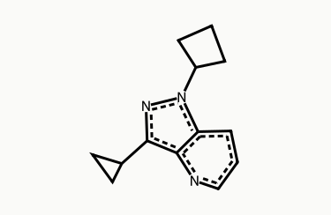 c1cnc2c(C3CC3)nn(C3CCC3)c2c1